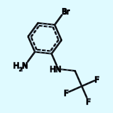 Nc1ccc(Br)cc1NCC(F)(F)F